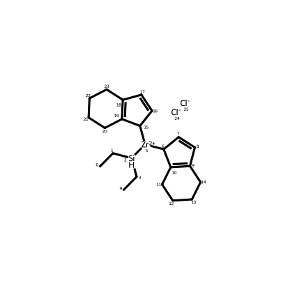 CC[SiH](CC)[Zr+2]([CH]1C=CC2=C1CCCC2)[CH]1C=CC2=C1CCCC2.[Cl-].[Cl-]